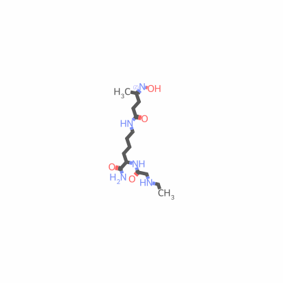 CCNCC(=O)NC(CCCCNC(=O)CC/C(C)=N\O)C(N)=O